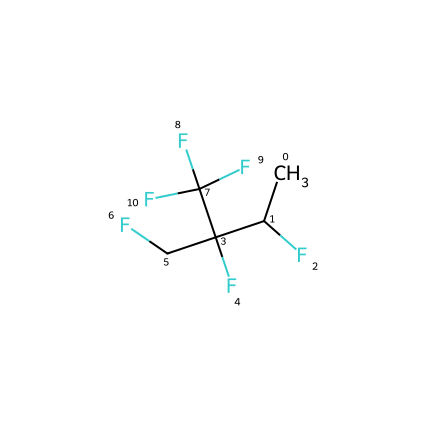 CC(F)C(F)(CF)C(F)(F)F